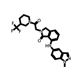 Cn1ncc2cc(Nc3cccc4c3C(=O)N(CC(=O)N3CCCC(C(F)(F)F)C3)C4)ccc21